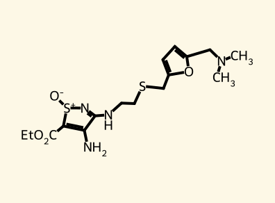 CCOC(=O)c1c(N)c(NCCSCc2ccc(CN(C)C)o2)n[s+]1[O-]